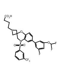 O=C(O)CCCN1CC2(C1)CN(S(=O)(=O)c1cccc(C(F)(F)F)c1)c1cc(-c3cc(F)cc(OC(F)F)c3)ccc1O2